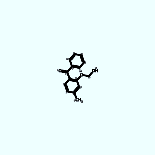 Cc1ccc(C(=O)c2ccccc2)c(OCO)c1